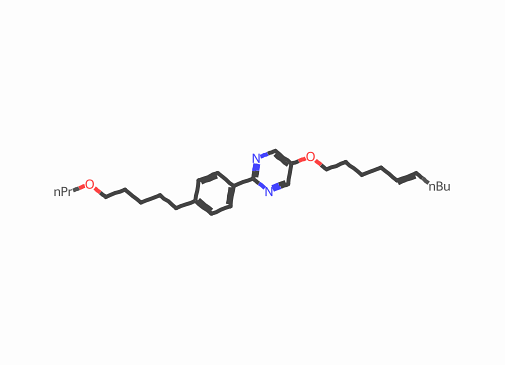 CCCCC=CCCCCOc1cnc(-c2ccc(CCCCCOCCC)cc2)nc1